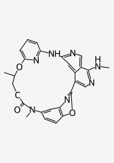 CNc1ncc2c3cc(ncc13)Nc1cccc(n1)OC(C)CCC(=O)N(C)c1ccc3oc-2nc3c1